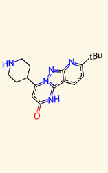 CC(C)(C)c1ccc2c(n1)nn1c(C3CCNCC3)cc(=O)[nH]c21